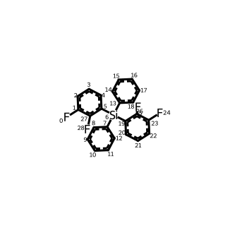 Fc1cccc([Si](c2ccccc2)(c2ccccc2)c2cccc(F)c2F)c1F